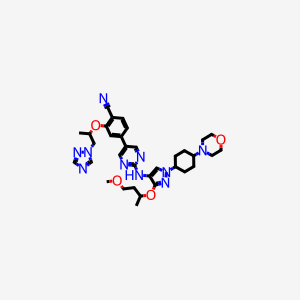 COCCC(C)Oc1nn(C2CCC(N3CCOCC3)CC2)cc1Nc1ncc(-c2ccc(C#N)c(OC(C)Cn3cncn3)c2)cn1